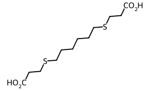 O=C(O)CCSCCCCCCSCCC(=O)O